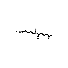 CCCCCCCCCCCCNC(=O)CCCN(C)C